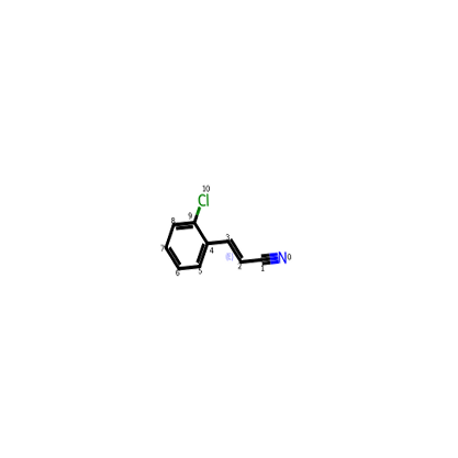 N#C/C=C/c1ccccc1Cl